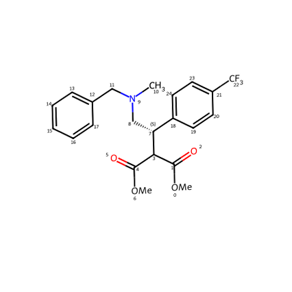 COC(=O)C(C(=O)OC)[C@H](CN(C)Cc1ccccc1)c1ccc(C(F)(F)F)cc1